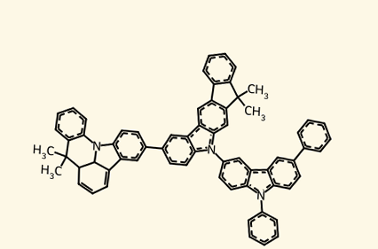 CC1(C)c2ccccc2-c2cc3c4cc(-c5ccc6c(c5)C5=CC=CC7C5N6c5ccccc5C7(C)C)ccc4n(-c4ccc5c(c4)c4cc(-c6ccccc6)ccc4n5-c4ccccc4)c3cc21